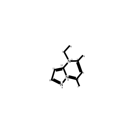 CCn1c(C)cc(C)[n+]2nccc1-2